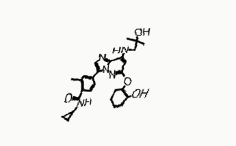 Cc1cc(-c2cnc3c(NCC(C)(C)O)cc(OC4CCCCC4O)nn23)ccc1C(=O)NC1CC1